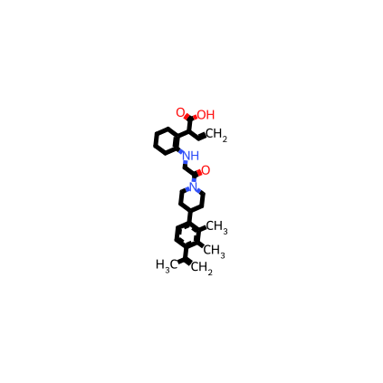 C=CC(C(=O)O)C1=C(NCC(=O)N2CCC(c3ccc(C(=C)C)c(C)c3C)CC2)CCCC1